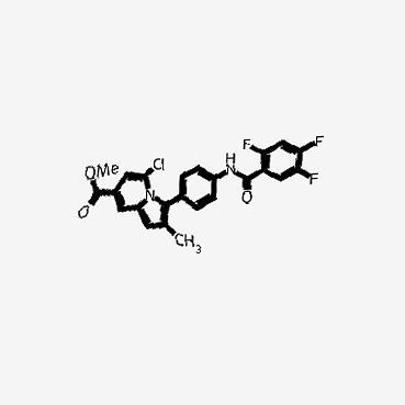 COC(=O)c1cc(Cl)n2c(-c3ccc(NC(=O)c4cc(F)c(F)cc4F)cc3)c(C)cc2c1